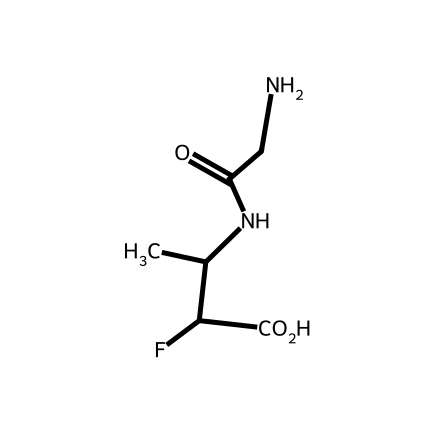 CC(NC(=O)CN)C(F)C(=O)O